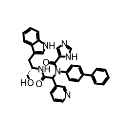 O=C(N[C@H](CO)Cc1c[nH]c2ccccc12)C(c1cccnc1)N(C(=O)c1cnc[nH]1)c1ccc(-c2ccccc2)cc1